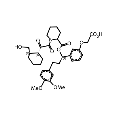 COc1ccc(CC[C@@H](OC(=O)C2CCCCN2C(=O)C(=O)[C@@H]2CCCC[C@H]2CO)c2cccc(OCC(=O)O)c2)cc1OC